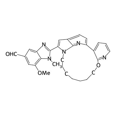 COc1cc(C=O)cc2nc(-c3cc4ccc5nc4n3CCCCCCCOc3ncccc3-5)n(C)c12